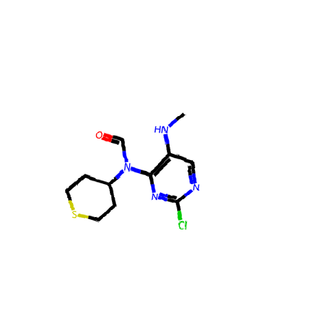 CNc1cnc(Cl)nc1N(C=O)C1CCSCC1